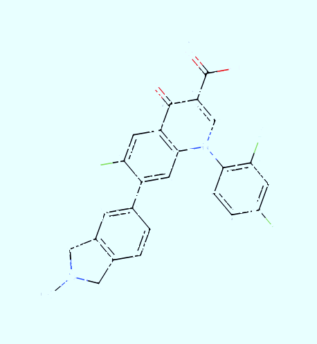 CN1Cc2ccc(-c3cc4c(cc3F)c(=O)c(C(=O)O)cn4-c3ccc(F)cc3F)cc2C1